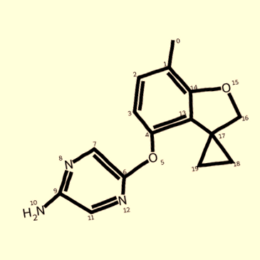 Cc1ccc(Oc2cnc(N)cn2)c2c1OCC21CC1